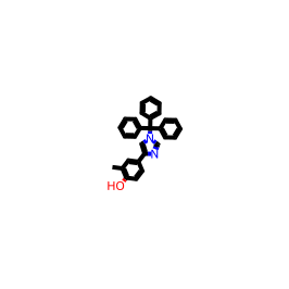 Cc1cc(-c2cn(C(c3ccccc3)(c3ccccc3)c3ccccc3)cn2)ccc1O